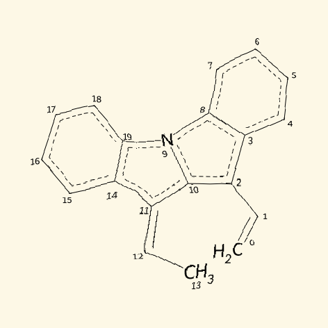 C=Cc1c2ccccc2n2c1/c(=C\C)c1ccccc12